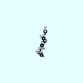 COc1cc2c(Oc3ccc(NC(=O)C(=O)NC(C)c4ccc(C)cc4)cc3F)ccnc2cc1OCC1CCNCC1